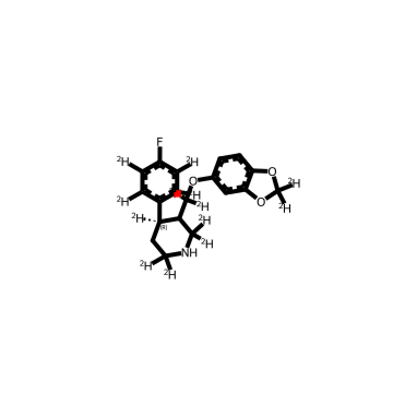 [2H]c1c([2H])c([C@]2([2H])CC([2H])([2H])NC([2H])([2H])C2C([2H])([2H])Oc2ccc3c(c2)OC([2H])([2H])O3)c([2H])c([2H])c1F